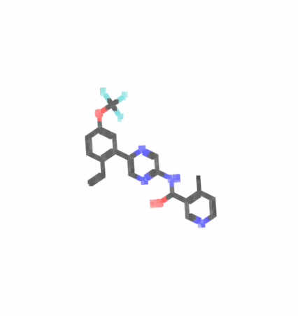 C=Cc1ccc(OC(F)(F)F)cc1-c1cnc(NC(O)c2cnccc2C)cn1